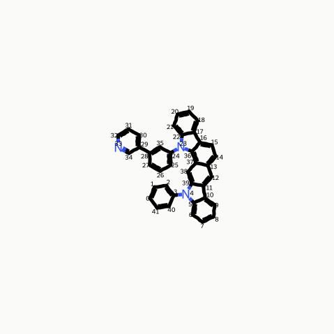 c1ccc(-n2c3ccccc3c3cc4ccc5c6ccccc6n(-c6cccc(-c7cccnc7)c6)c5c4cc32)cc1